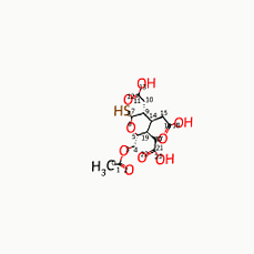 CC(=O)OC[C@@H]1O[C@@H](S)[C@H](CC(=O)O)[C@@H](CC(=O)O)[C@H]1CC(=O)O